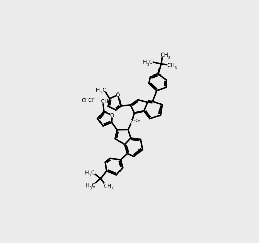 Cc1ccc(C2=Cc3c(-c4ccc(C(C)(C)C)cc4)cccc3[CH]2[Zr+2][CH]2C(c3ccc(C)o3)=Cc3c(-c4ccc(C(C)(C)C)cc4)cccc32)o1.[Cl-].[Cl-]